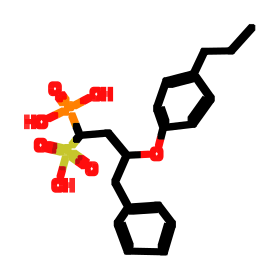 CCCc1ccc(OC(Cc2ccccc2)CC(P(=O)(O)O)S(=O)(=O)O)cc1